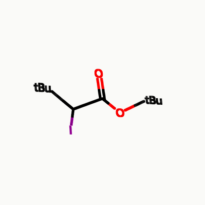 CC(C)(C)OC(=O)C(I)C(C)(C)C